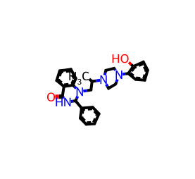 CC(CN1c2ccccc2C(=O)NC1c1ccccc1)N1CCN(c2ccccc2O)CC1